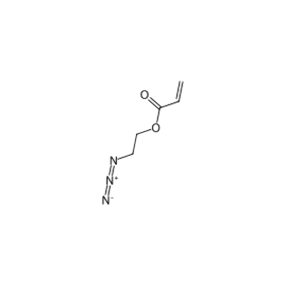 C=CC(=O)OCCN=[N+]=[N-]